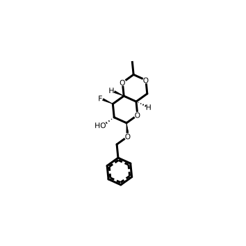 CC1OC[C@H]2O[C@@H](OCc3ccccc3)[C@H](O)[C@@H](F)[C@@H]2O1